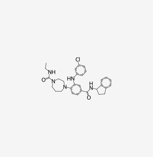 CCNC(=O)N1CCCN(c2ccc(C(=O)NC3CCc4ccccc43)cc2Nc2cccc(Cl)c2)CC1